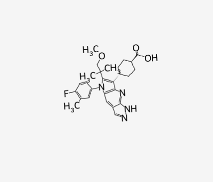 COCC(C)(C)c1c([C@H]2CC[C@H](C(=O)O)CC2)c2nc3[nH]ncc3cc2n1-c1ccc(F)c(C)c1